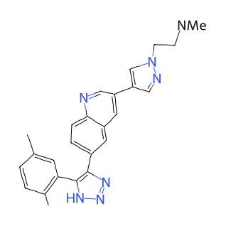 CNCCn1cc(-c2cnc3ccc(-c4nn[nH]c4-c4cc(C)ccc4C)cc3c2)cn1